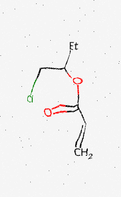 C=CC(=O)OC(CC)CCl